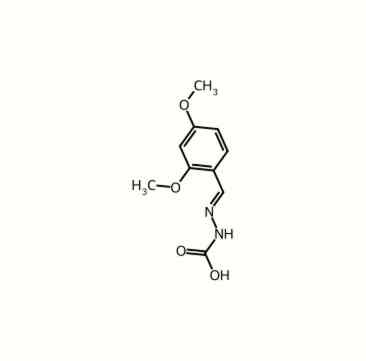 COc1ccc(C=NNC(=O)O)c(OC)c1